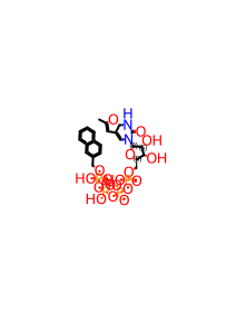 CC1=CC2=CN([C@@H]3O[C@H](COP(=O)(O)OP(=O)(O)OP(=O)(O)OP(=O)(O)OCc4ccc5ccccc5c4)C(O)[C@@H]3O)C(=O)NC2O1